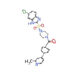 Cc1cc(-c2ccc(C(=O)N3CCN(S(=O)(=O)c4nc5ccc(Cl)cc5[nH]4)CC3)cc2)ccn1